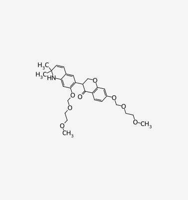 COCCOCOc1ccc2c(c1)OCC(c1cc3c(cc1OCOCCOC)NC(C)(C)C=C3)C2=O